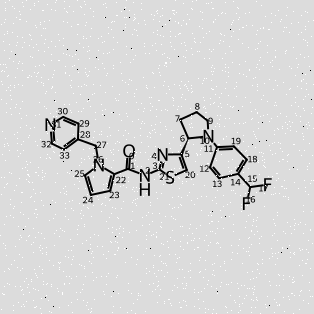 O=C(Nc1nc([C@H]2CCCN2c2ccc(C(F)F)cc2)cs1)c1cccn1Cc1ccncc1